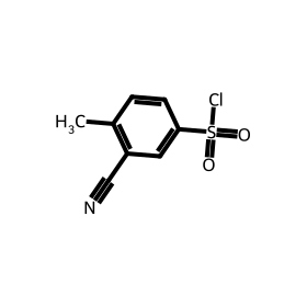 Cc1ccc(S(=O)(=O)Cl)cc1C#N